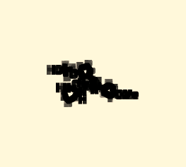 COc1ccc(-c2nc3c4cccc(OCC(C)(C)O)c4nc(N[C@@H]4CCCCNC4=O)n3n2)cc1